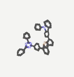 c1ccc(-c2nc(-c3ccccc3)nc(-c3ccc(-c4cccc5c4sc4c(-c6ccc7c(c6)c6ccccc6n7-c6ccccc6)cccc45)cc3)n2)cc1